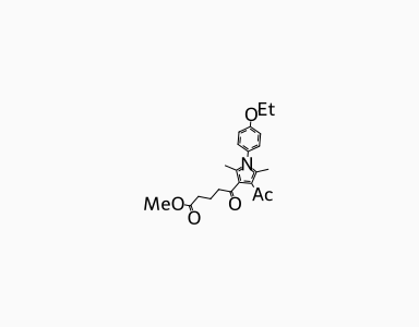 CCOc1ccc(-n2c(C)c(C(C)=O)c(C(=O)CCCC(=O)OC)c2C)cc1